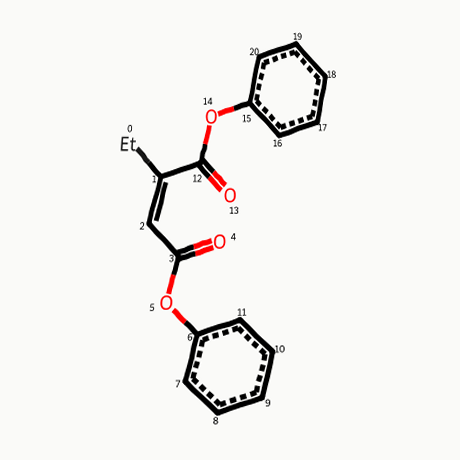 CC/C(=C/C(=O)Oc1ccccc1)C(=O)Oc1ccccc1